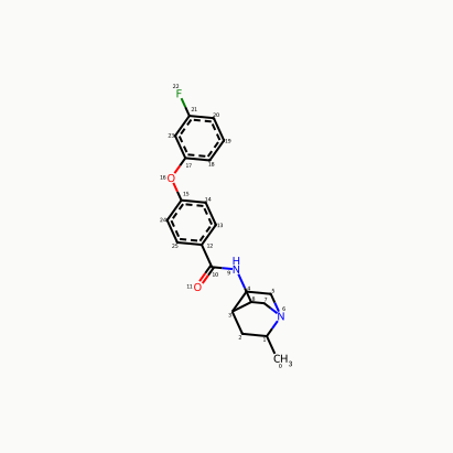 CC1CC2CCN1CC2NC(=O)c1ccc(Oc2cccc(F)c2)cc1